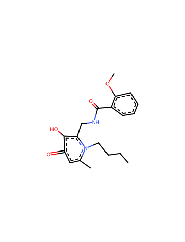 CCCCn1c(C)cc(=O)c(O)c1CNC(=O)c1ccccc1OC